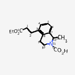 CCOC(=O)CCc1cccc2c1CCN(C(=O)O)C2C